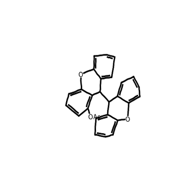 CC(=O)Oc1cccc2c1C(C1c3ccccc3Oc3ccccc31)c1ccccc1O2